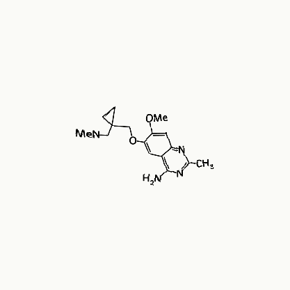 CNCC1(COc2cc3c(N)nc(C)nc3cc2OC)CC1